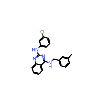 Cc1cccc(CNc2nc(Nc3cccc(Cl)c3)nc3ccccc23)c1